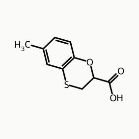 Cc1ccc2c(c1)SCC(C(=O)O)O2